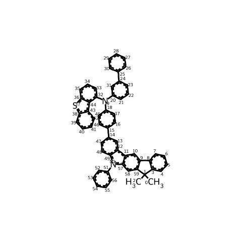 CC1(C)c2ccccc2-c2cc3c4cc(-c5ccc(N(c6cccc(-c7ccccc7)c6)c6cccc7sc8ccccc8c67)cc5)ccc4n(-c4ccccc4)c3cc21